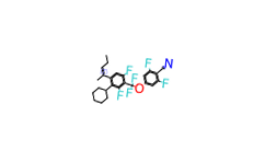 CC/C=C(/C)c1cc(F)c(C(F)(F)Oc2cc(F)c(C#N)c(F)c2)c(F)c1C1CCCCC1